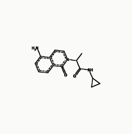 CC(C(=O)NC1CC1)n1ccc2c(N)cccc2c1=O